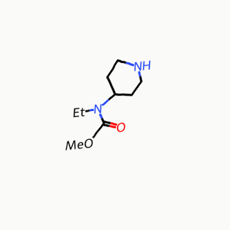 CCN(C(=O)OC)C1CCNCC1